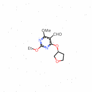 CCOc1nc(OC)c(C=O)c(O[C@H]2CCOC2)n1